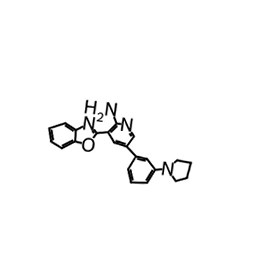 Nc1ncc(-c2cccc(N3CCCC3)c2)cc1-c1nc2ccccc2o1